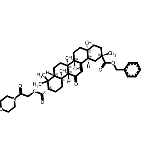 CC1(C)[C@@H](C(=O)OCC(=O)N2CCOCC2)CC[C@]2(C)[C@H]3C(=O)C=C4[C@@H]5C[C@@](C)(C(=O)OCc6ccccc6)CC[C@]5(C)CC[C@@]4(C)[C@]3(C)CC[C@@H]12